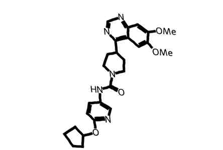 COc1cc2ncnc(C3CCN(C(=O)Nc4ccc(OC5CCCC5)nc4)CC3)c2cc1OC